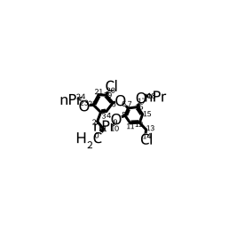 C=CCc1cc(Oc2c(OCCC)cc(CCl)cc2OCCC)c(Cl)cc1OCCC